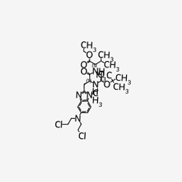 CCOC(=O)[C@@H](NC(=O)[C@H](Cc1nc2cc(N(CCCl)CCCl)ccc2n1C)NC(=O)OC(C)(C)C)C(C)C